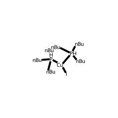 CCCC[PH](CCCC)(CCCC)[Cu]([I])[PH](CCCC)(CCCC)CCCC